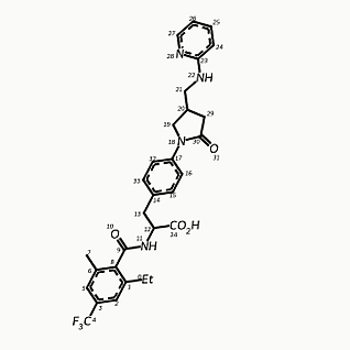 CCc1cc(C(F)(F)F)cc(C)c1C(=O)NC(Cc1ccc(N2CC(CNc3ccccn3)CC2=O)cc1)C(=O)O